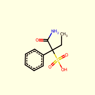 CCC(C(N)=O)(c1ccccc1)S(=O)(=O)O